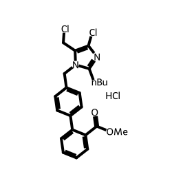 CCCCc1nc(Cl)c(CCl)n1Cc1ccc(-c2ccccc2C(=O)OC)cc1.Cl